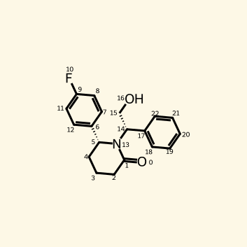 O=C1CCC[C@H](c2ccc(F)cc2)N1[C@H](CO)c1ccccc1